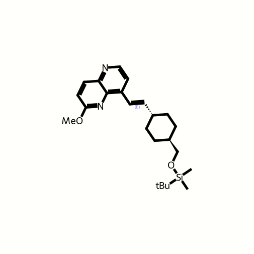 COc1ccc2nccc(/C=C/[C@H]3CC[C@H](CO[Si](C)(C)C(C)(C)C)CC3)c2n1